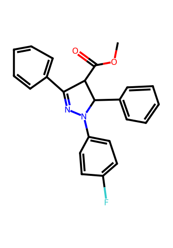 COC(=O)C1C(c2ccccc2)=NN(c2ccc(F)cc2)C1c1ccccc1